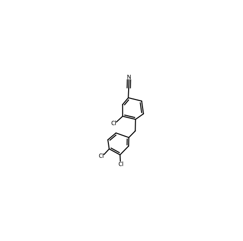 N#Cc1ccc(Cc2ccc(Cl)c(Cl)c2)c(Cl)c1